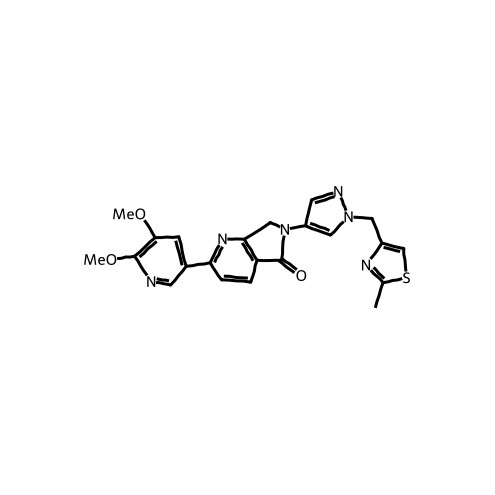 COc1cc(-c2ccc3c(n2)CN(c2cnn(Cc4csc(C)n4)c2)C3=O)cnc1OC